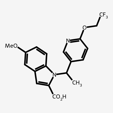 COc1ccc2c(c1)cc(C(=O)O)n2C(C)c1ccc(OCC(F)(F)F)nc1